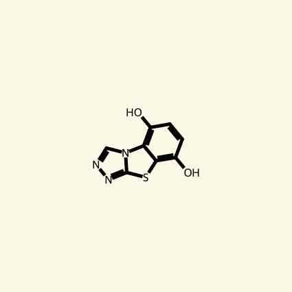 Oc1ccc(O)c2c1sc1nncn12